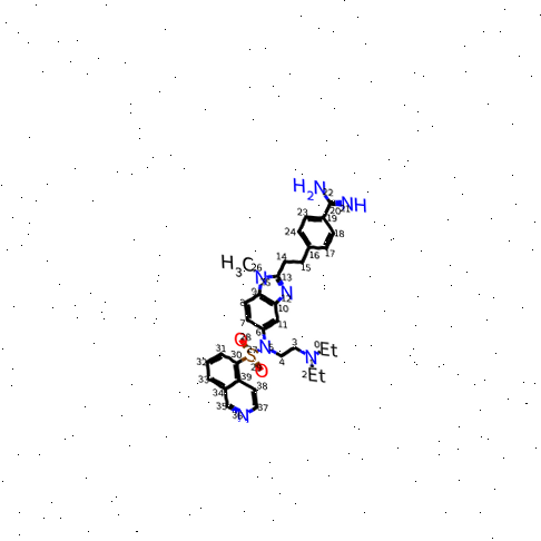 CCN(CC)CCN(c1ccc2c(c1)nc(CCc1ccc(C(=N)N)cc1)n2C)S(=O)(=O)c1cccc2cnccc12